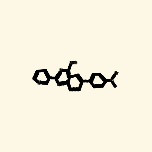 CNc1nc(-c2cccnc2)nc2ccc(-c3ccc([S+](C)[O-])cc3)cc12